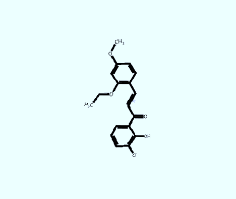 CCOc1cc(OC)ccc1/C=C/C(=O)c1cccc(Cl)c1O